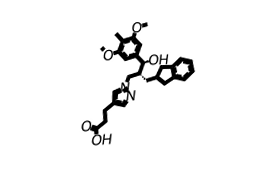 COc1cc([C@@H](O)[C@H](CC2Cc3ccccc3C2)Cn2cc(CCC(=O)O)cn2)cc(OC)c1C